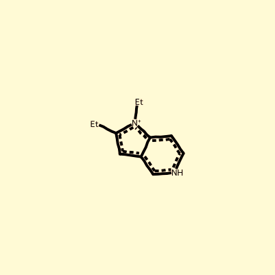 CCc1cc2c[nH]ccc-2[n+]1CC